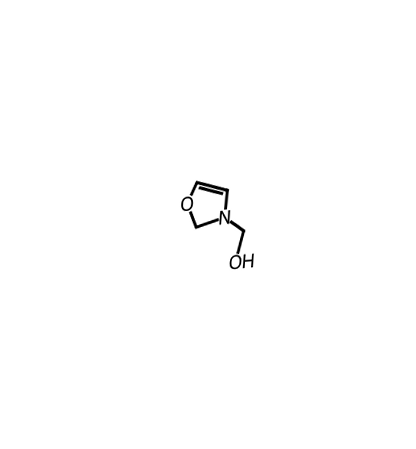 OCN1C=COC1